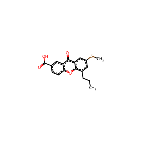 CCCc1cc(SC)cc2c(=O)c3cc(C(=O)O)ccc3oc12